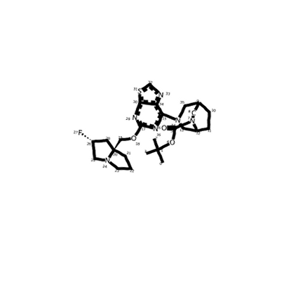 CC(C)(C)OC(=O)N1CC2CCC1CN(c1nc(OC[C@@]34CCCN3C[C@H](F)C4)nc3scnc13)C2